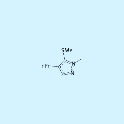 CCCc1[c]nn(C)c1SC